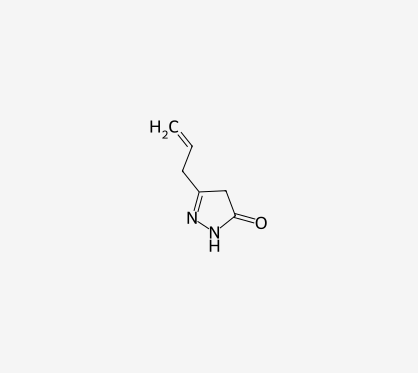 C=CCC1=NNC(=O)C1